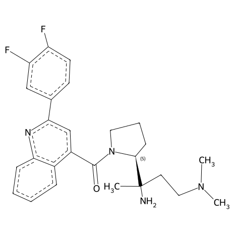 CN(C)CCC(C)(N)[C@@H]1CCCN1C(=O)c1cc(-c2ccc(F)c(F)c2)nc2ccccc12